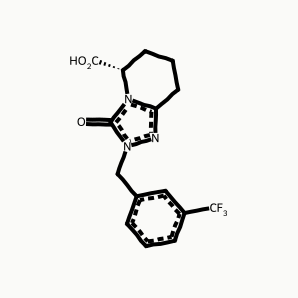 O=C(O)[C@@H]1CCCc2nn(Cc3cccc(C(F)(F)F)c3)c(=O)n21